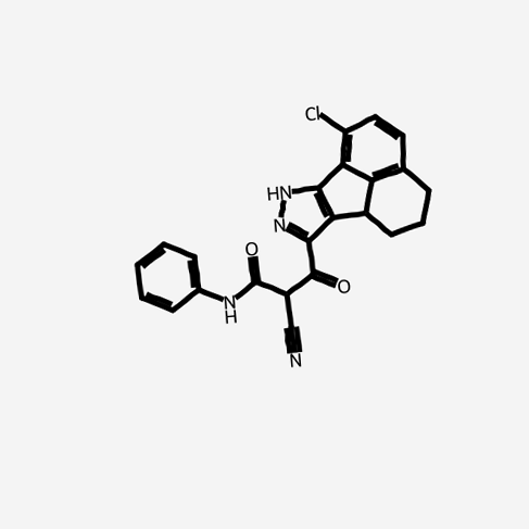 N#CC(C(=O)Nc1ccccc1)C(=O)c1n[nH]c2c1C1CCCc3ccc(Cl)c-2c31